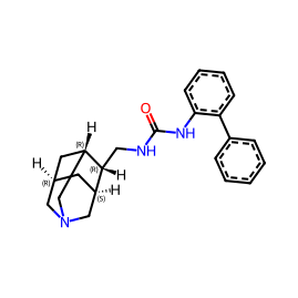 O=C(NC[C@@H]1[C@@H]2C[C@@H]3C[C@H]1CN(C3)C2)Nc1ccccc1-c1ccccc1